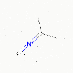 C=[N+]=C(C)C